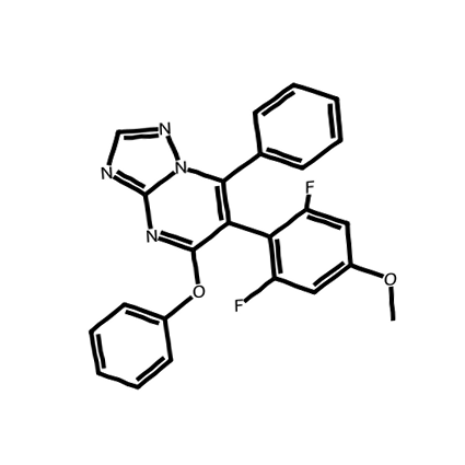 COc1cc(F)c(-c2c(Oc3ccccc3)nc3ncnn3c2-c2ccccc2)c(F)c1